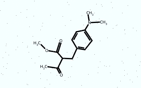 COC(=O)C(Cc1ccc(N(C)C)cc1)C(C)=O